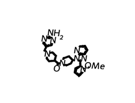 CO[n+]1ccccc1-c1nc2cccnc2n1C1CCN(C(=O)C2CCN(Cc3cnc(N)nc3)CC2)CC1